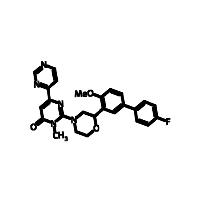 COc1ccc(-c2ccc(F)cc2)cc1C1CN(c2nc(-c3ccncn3)cc(=O)n2C)CCO1